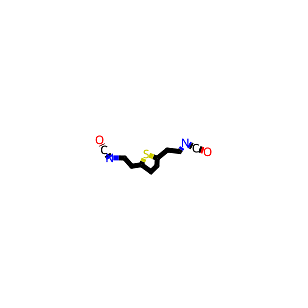 O=C=NCCC1CCC(CCN=C=O)S1